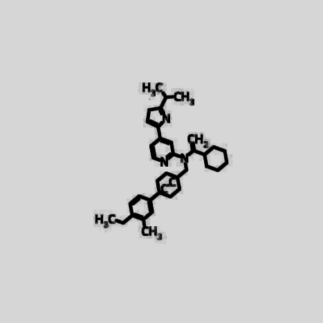 C=C(C1CCCCC1)N(CC12CCC(c3ccc(CC)c(C)c3)(CC1)CC2)c1cc(C2=CCC(C(C)C)=N2)ccn1